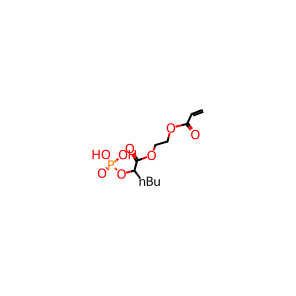 C=CC(=O)OCCOC(=O)C(CCCC)OP(=O)(O)O